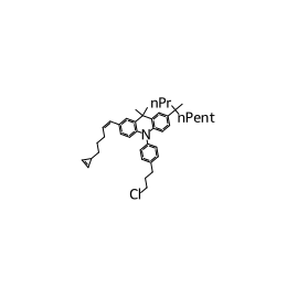 CCCCCC(C)(CCC)c1ccc2c(c1)C(C)(C)c1cc(/C=C\CCCC3C=C3)ccc1N2c1ccc(CCCCl)cc1